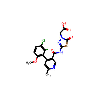 COc1ccc(Cl)c(F)c1-c1cc(C)ncc1C(=O)Nc1nn(CC(=O)O)c(=O)s1